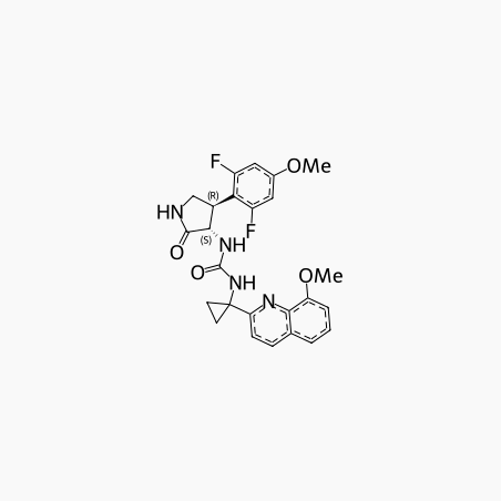 COc1cc(F)c([C@@H]2CNC(=O)[C@H]2NC(=O)NC2(c3ccc4cccc(OC)c4n3)CC2)c(F)c1